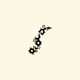 CCOC(=O)C1CCN(CCc2coc3cc(Oc4nc5ccccc5s4)ccc23)CC1